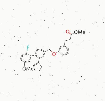 COC(=O)CCc1cccc(OCc2ccc(-c3cc(OC)ccc3F)c(C3=CCCC3)c2)c1